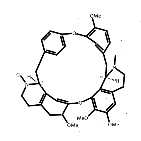 COc1ccc2cc1Oc1ccc(cc1)C[C@H]1C3=C(CCN1Cl)CC(OC)C(=C3)Oc1c(OC)c(OC)cc3c1[C@@H](C2)N(C)CC3